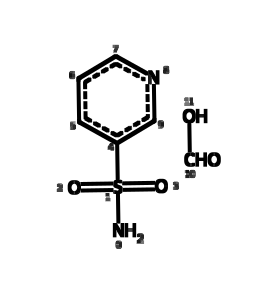 NS(=O)(=O)c1cccnc1.O=CO